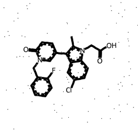 Cc1c(-c2ccc(=O)n(Cc3ccccc3F)c2)c2cc(Cl)ccc2n1CC(=O)O